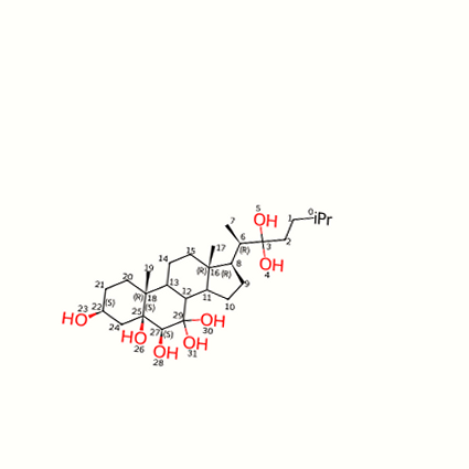 CC(C)CCC(O)(O)[C@H](C)[C@H]1CCC2C3C(CC[C@@]21C)[C@@]1(C)CC[C@H](O)C[C@@]1(O)[C@H](O)C3(O)O